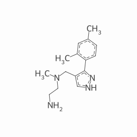 Cc1ccc(-c2n[nH]cc2CN(C)CCN)c(C)c1